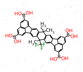 CC1(C)c2cc3c(cc2C(C)(C(F)(F)F)c2cc4c(cc21)-c1cc(B(O)O)cc2cc(B(O)O)cc-4c12)-c1cc(B(O)O)cc2cc(B(O)O)cc-3c12